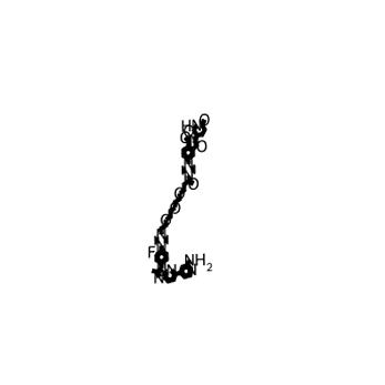 Cc1nc2ccc(-c3ccnc(N)c3)nc2n1-c1ccc(N2CCN(CCOCCOCCOCCC(=O)N3CCN(c4ccc5c(c4)C(=O)N(C4CCC(=O)NC4=O)C5=O)CC3)CC2)c(F)c1